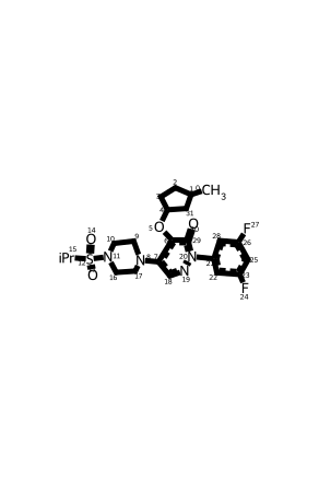 CC1CCC(Oc2c(N3CCN(S(=O)(=O)C(C)C)CC3)cnn(-c3cc(F)cc(F)c3)c2=O)C1